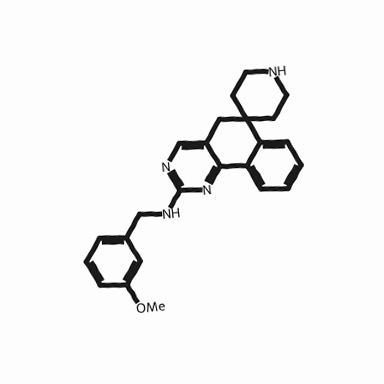 COc1cccc(CNc2ncc3c(n2)-c2ccccc2C2(CCNCC2)C3)c1